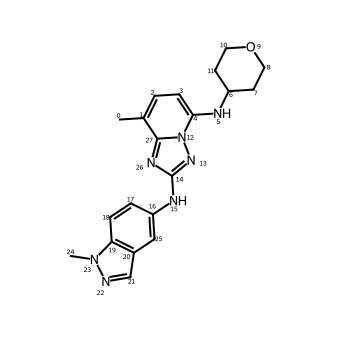 Cc1ccc(NC2CCOCC2)n2nc(Nc3ccc4c(cnn4C)c3)nc12